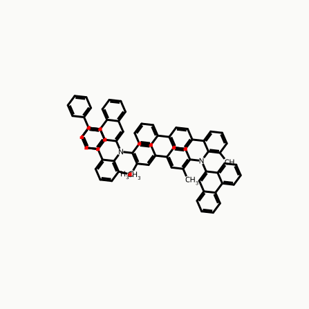 Cc1cc(-c2ccc(N(c3c(C)cccc3-c3ccc(-c4ccccc4)cc3)c3cc4ccccc4c4ccccc34)c(C)c2)ccc1N(c1c(C)cccc1-c1ccc(-c2ccccc2)cc1)c1cc2ccccc2c2ccccc12